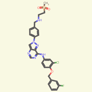 CS(=O)(=O)CCNCc1ccc(-n2cc3ncnc(Nc4ccc(OCc5cccc(F)c5)c(Cl)c4)c3n2)cc1